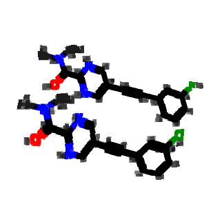 CCN(C(=O)c1ncc(C#Cc2cccc(Cl)c2)cn1)C(C)(C)C.CCN(C(=O)c1ncc(C#Cc2cccc(F)c2)cn1)C(C)(C)C